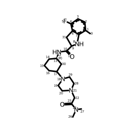 Cc1ccc(F)c2c1NC(C(=O)N[C@@H]1CCCC(N3CCN(CC(=O)N(C)C)CC3)C1)C2